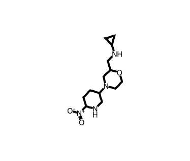 O=[N+]([O-])C1CCC(N2CCOC(CNC3CC3)C2)CN1